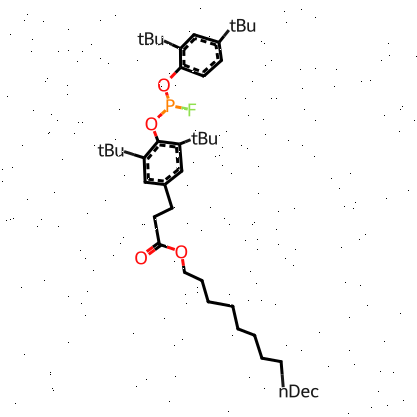 CCCCCCCCCCCCCCCCCCOC(=O)CCc1cc(C(C)(C)C)c(OP(F)Oc2ccc(C(C)(C)C)cc2C(C)(C)C)c(C(C)(C)C)c1